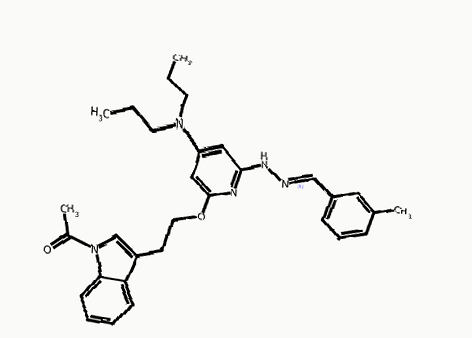 CCCN(CCC)c1cc(N/N=C/c2cccc(C)c2)nc(OCCc2cn(C(C)=O)c3ccccc23)c1